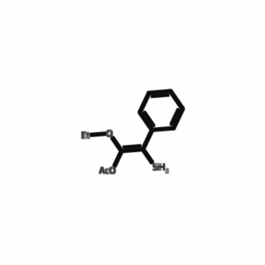 CCOC(OC(C)=O)=C([SiH3])c1ccccc1